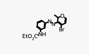 CCOC(=O)Nc1cccc(N=NC2=C(Br)C=COC2C)c1